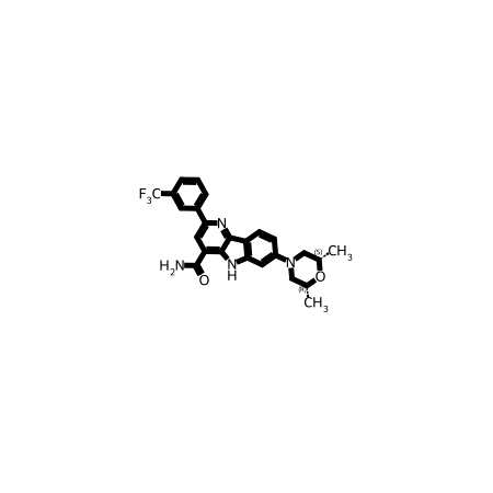 C[C@@H]1CN(c2ccc3c(c2)[nH]c2c(C(N)=O)cc(-c4cccc(C(F)(F)F)c4)nc23)C[C@H](C)O1